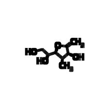 C=C1O[C@H]([C@@H](O)CO)[C@H](C)[C@@H]1O